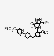 CCCc1nn(C)c2c(=O)[nH]c(-c3cc(CC4CCN(c5ncc(C(=O)OCC)cn5)CC4)ccc3OCC)nc12